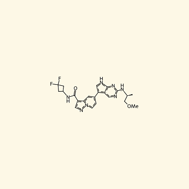 COC[C@H](C)Nc1ncc2c(-c3ccn4ncc(C(=O)NC5CC(F)(F)C5)c4c3)c[nH]c2n1